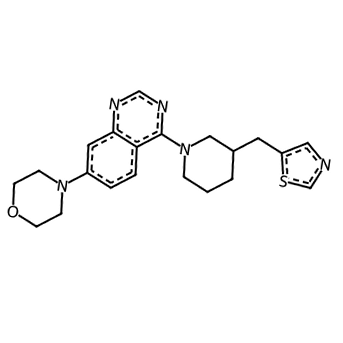 c1nc(N2CCCC(Cc3cncs3)C2)c2ccc(N3CCOCC3)cc2n1